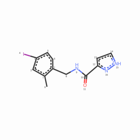 Cc1cc(I)ccc1CNC(=O)c1cc[nH]n1